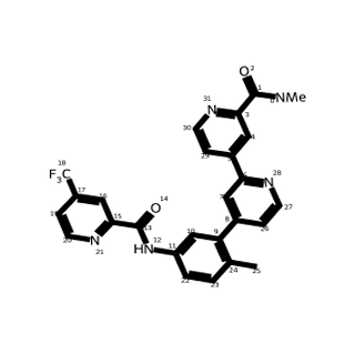 CNC(=O)c1cc(-c2cc(-c3cc(NC(=O)c4cc(C(F)(F)F)ccn4)ccc3C)ccn2)ccn1